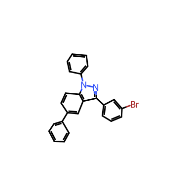 Brc1cccc(-c2nn(-c3ccccc3)c3ccc(-c4ccccc4)cc23)c1